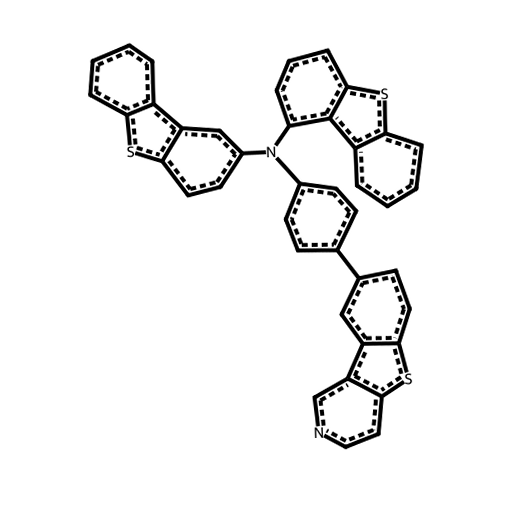 c1ccc2c(c1)sc1ccc(N(c3ccc(-c4ccc5sc6ccncc6c5c4)cc3)c3cccc4sc5ccccc5c34)cc12